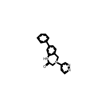 O=C1CN(c2ccnnc2)Cc2ccc(-c3ccccc3)cc2N1